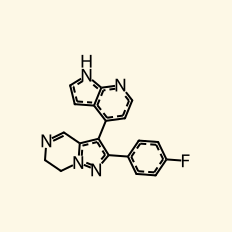 Fc1ccc(-c2nn3c(c2-c2ccnc4[nH]ccc24)C=NCC3)cc1